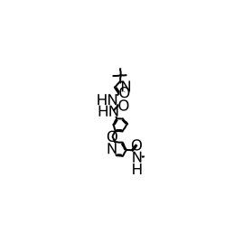 CNC(=O)c1ccnc(Oc2cccc(NC(=O)Nc3cc(C(C)(C)C)no3)c2)c1